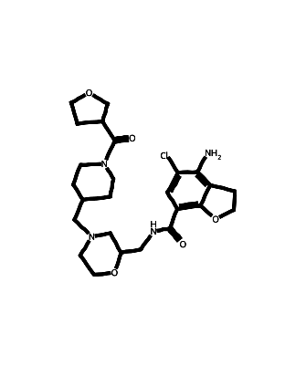 Nc1c(Cl)cc(C(=O)NCC2CN(CC3CCN(C(=O)C4CCOC4)CC3)CCO2)c2c1CCO2